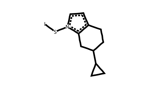 ISn1ccc2c1CC(C1CC1)CC2